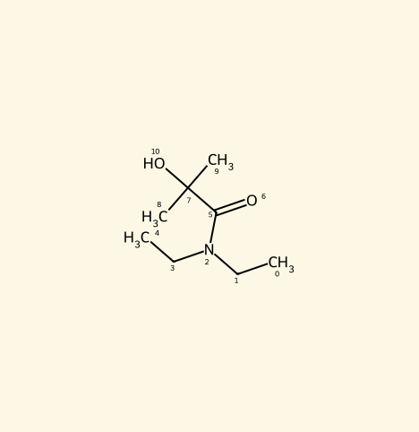 CCN(CC)C(=O)C(C)(C)O